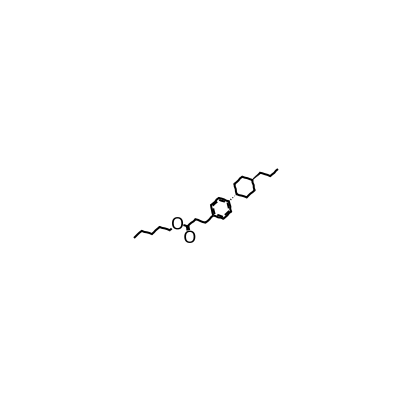 CCCCCOC(=O)CCc1ccc([C@H]2CC[C@H](CCC)CC2)cc1